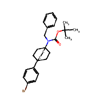 CC(C)(C)OC(=O)N(Cc1ccccc1)C12CCC(c3ccc(Br)cc3)(CC1)CC2